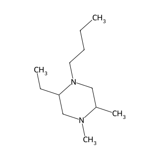 CCCCN1CC(C)N(C)CC1CC